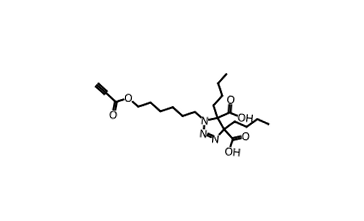 C#CC(=O)OCCCCCCN1N=NC(CCCC)(C(=O)O)C1(CCCC)C(=O)O